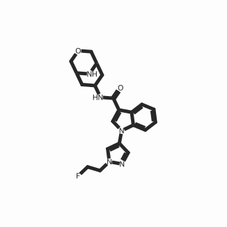 O=C(NC1CC2COCC(C1)N2)c1cn(-c2cnn(CCF)c2)c2ccccc12